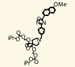 COc1ccc2cc(-c3nc(-c4ccc(CN5CCC(C(=O)OCOC(=O)OC(C)C)(C(=O)OCOC(=O)OC(C)C)CC5)cc4)no3)ccc2c1